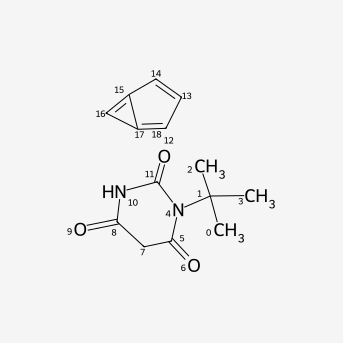 CC(C)(C)N1C(=O)CC(=O)NC1=O.c1cc2cc-2c1